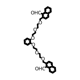 O=Cc1c(COCCOCCOc2ccccc2OCCOCCOCc2ccc3ccccc3c2C=O)ccc2ccccc12